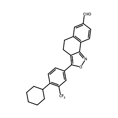 O=Cc1ccc2c(c1)CCc1c-2noc1-c1ccc(C2CCCCC2)c(C(F)(F)F)c1